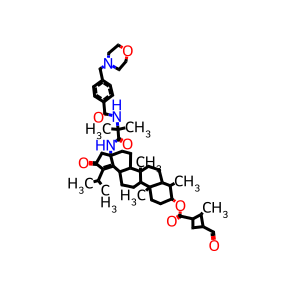 CC(C)C1=C2C3CCC4C(C)(CCC5C(C)C(OC(=O)C6CC(C=O)C6C)CCC54C)C3CCC2(NC(=O)C(C)(C)NC(=O)c2ccc(CN3CCOCC3)cc2)CC1=O